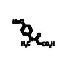 COc1ccc(N(C)C(=O)CC(=O)O)cc1